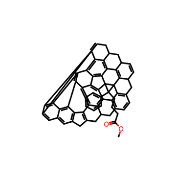 COC(=O)CCCC1(c2ccccc2)C23C4=C5c6c7c8c9c%10c%11cc%12cc%13c%14c%15c%16c%17c(c%18c%19c(c6C%1812)c8c1c(c%119)c%12c%14c1c%16%19)-c1c(ccc(c13)CC4C=CC5CC7C%10)CC%17CC=%15C%13